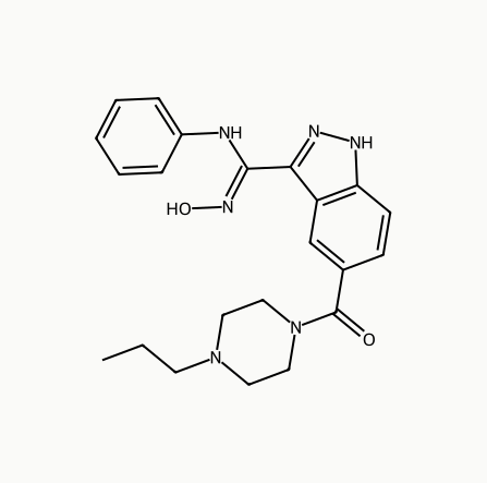 CCCN1CCN(C(=O)c2ccc3[nH]nc(C(=NO)Nc4ccccc4)c3c2)CC1